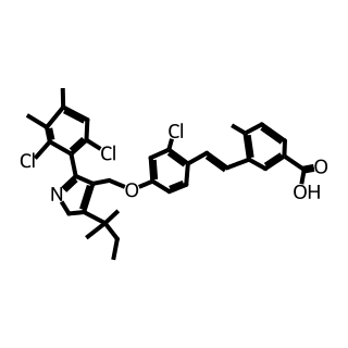 CCC(C)(C)C1=C(COc2ccc(/C=C/c3cc(C(=O)O)ccc3C)c(Cl)c2)C(c2c(Cl)cc(C)c(C)c2Cl)=NC1